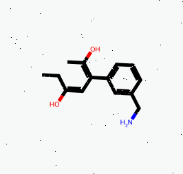 CC/C(O)=C\C(=C(/C)O)c1cccc(CN)c1